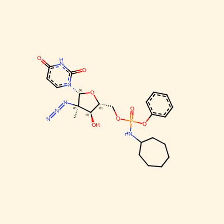 C[C@@]1(N=[N+]=[N-])[C@H](O)[C@@H](COP(=O)(NC2CCCCCC2)Oc2ccccc2)O[C@H]1n1ccc(=O)[nH]c1=O